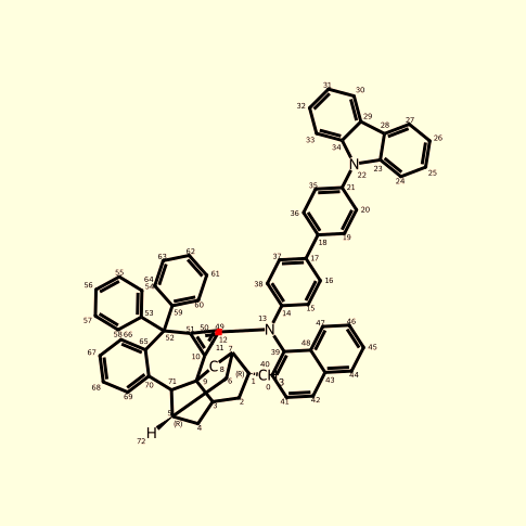 C[C@@H]1CC2C[C@H]3CC1CC21c2cc(N(c4ccc(-c5ccc(-n6c7ccccc7c7ccccc76)cc5)cc4)c4cccc5ccccc45)ccc2C(c2ccccc2)(c2ccccc2)c2ccccc2C31